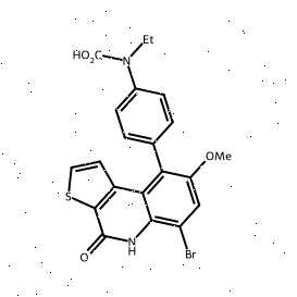 CCN(C(=O)O)c1ccc(-c2c(OC)cc(Br)c3[nH]c(=O)c4sccc4c23)cc1